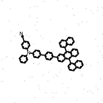 N#Cc1ccc(N(c2ccccc2)c2ccc(-c3ccc(-c4ccc5c(-c6cccc7ccccc67)c6ccccc6c(-c6cccc7ccccc67)c5c4)cc3)cc2)cc1